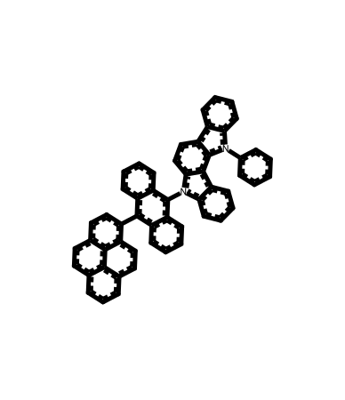 c1ccc(-n2c3ccccc3c3ccc4c(c5ccccc5n4-c4c5ccccc5c(-c5ccc6ccc7cccc8ccc5c6c78)c5ccccc45)c32)cc1